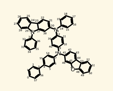 c1ccc(-c2ccc(N(c3ccc(N(c4ccccc4)c4ccc5c6ccccc6n(-c6ccccc6)c5c4)cc3)c3ccc4c(c3)oc3ccccc34)cc2)cc1